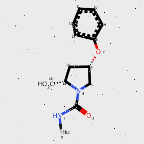 CC(C)(C)NC(=O)N1C[C@@H](Oc2ccccc2)C[C@H]1C(=O)O